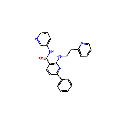 O=C(Nc1cccnc1)c1ccc(-c2ccccc2)nc1NCCc1ccccn1